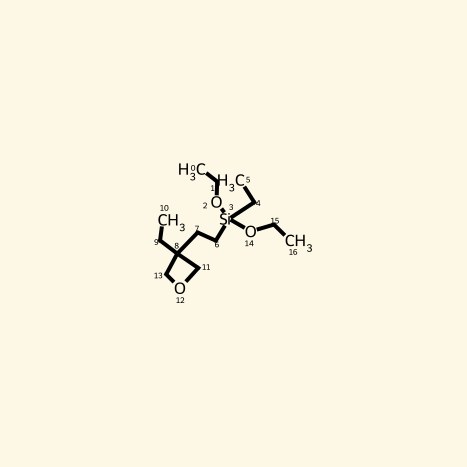 CCO[Si](CC)(CCC1(CC)COC1)OCC